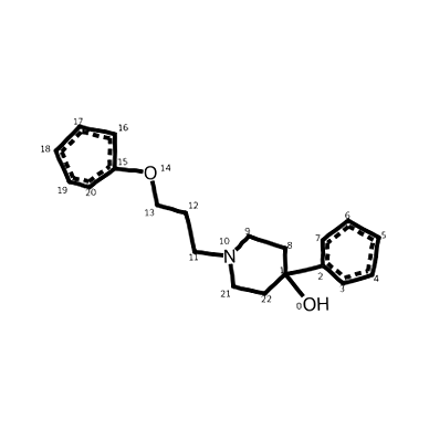 OC1(c2ccccc2)CCN(CCCOc2ccccc2)CC1